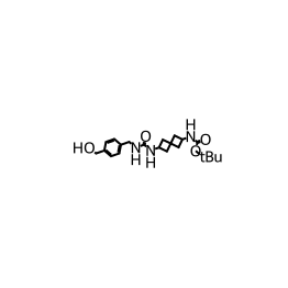 CC(C)(C)OC(=O)NC1CC2(CC(NC(=O)NCc3ccc(CO)cc3)C2)C1